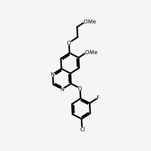 COCCOc1cc2ncnc(Oc3ccc(Cl)cc3F)c2cc1OC